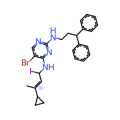 C/C(=C\C(I)Nc1nc(NCCC(c2ccccc2)c2ccccc2)ncc1Br)C1CC1